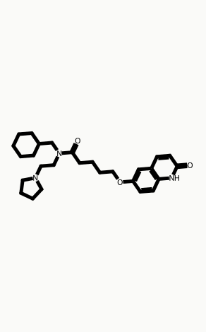 O=C(CCCCOc1ccc2[nH]c(=O)ccc2c1)N(CCN1CCCC1)CC1CCCCC1